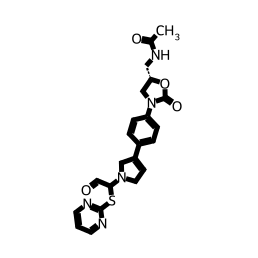 CC(=O)NC[C@H]1CN(c2ccc(C3=CCN(C(C=O)Sc4ncccn4)C3)cc2)C(=O)O1